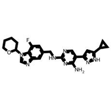 Nc1nc(NCc2cc(F)c3c(c2)ncn3C2CCCCO2)ncc1-c1cc(C2CC2)[nH]n1